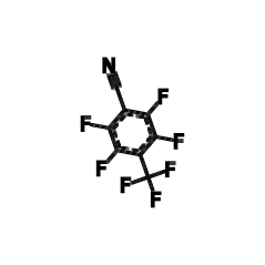 N#Cc1c(F)c(F)c(C(F)(F)F)c(F)c1F